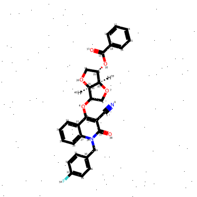 N#Cc1c(OC2CO[C@@H]3[C@@H](OC(=O)c4ccccc4)CO[C@H]23)c2ccccc2n(Cc2ccc(F)cc2)c1=O